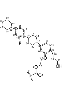 C=C(C)C(=O)OCCOc1cc(C2CCC(c3ccc(C4CCCCC4)cc3F)CC2)ccc1OCCO